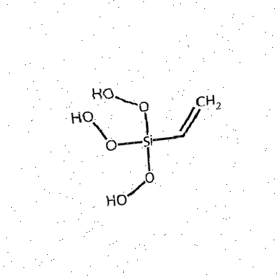 C=C[Si](OO)(OO)OO